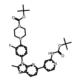 Cc1nc2ccc(-c3ccnc(NC(=O)OC(C)(C)C)c3)nc2n1-c1ccc(N2CCN(C(=O)OC(C)(C)C)CC2)c(F)c1